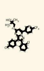 CC(C)(O)COc1cc(-c2ccc(C(F)(F)F)nc2)n2nc(-c3ccccc3Cl)c(-c3ccc(Cl)cc3)c2n1